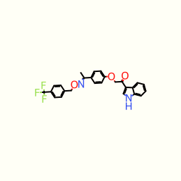 CC(=NOCc1ccc(C(F)(F)F)cc1)c1ccc(OCC(=O)c2c[nH]c3ccccc23)cc1